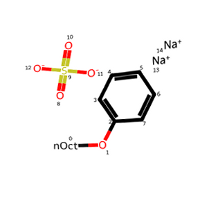 CCCCCCCCOc1ccccc1.O=S(=O)([O-])[O-].[Na+].[Na+]